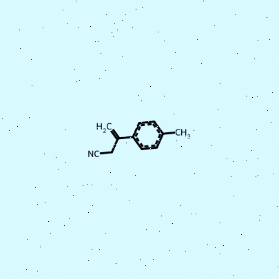 C=C(CC#N)c1ccc(C)cc1